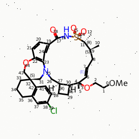 COCCO[C@@]1(C)/C=C/C[C@H](C)[C@@H](C)S(=O)(=O)NC(=O)c2ccc3c(c2)N(C[C@@H]2CC[C@H]21)C[C@@]1(CCCc2cc(Cl)ccc21)CO3